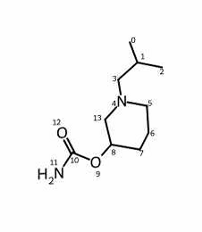 CC(C)CN1CCCC(OC(N)=O)C1